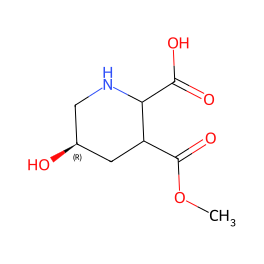 COC(=O)C1C[C@@H](O)CNC1C(=O)O